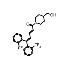 O=C(C=CC=C(c1ccccc1C(F)(F)F)c1ccccc1C(F)(F)F)N1CCC(CO)CC1